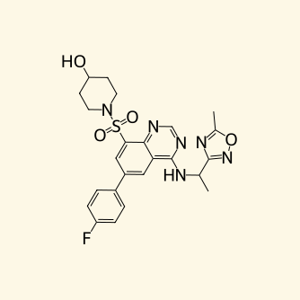 Cc1nc(C(C)Nc2ncnc3c(S(=O)(=O)N4CCC(O)CC4)cc(-c4ccc(F)cc4)cc23)no1